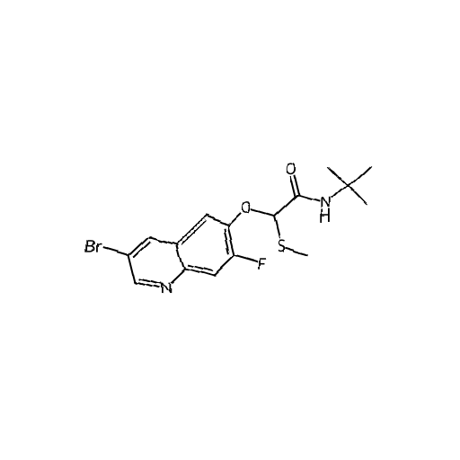 CSC(Oc1cc2cc(Br)cnc2cc1F)C(=O)NC(C)(C)C